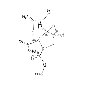 C=C(CCl)C[C@]1(C(=O)OC)[C@H]2C[C@H]2CN1C(=O)OC(C)(C)C